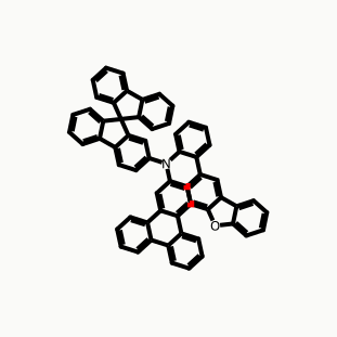 c1ccc(N(c2ccc3c(c2)C2(c4ccccc4-c4ccccc42)c2ccccc2-3)c2ccc3c4ccccc4c4ccccc4c3c2)c(-c2ccc3oc4ccccc4c3c2)c1